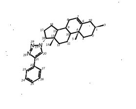 C[C@H]1CC[C@@]2(C)C(=CCC3C2CC[C@@]2(C)C3CC[C@H]2n2cc(-c3ccccc3)nn2)C1